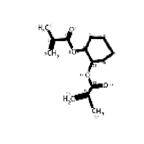 C=C(C)C(=O)OC1CCCCC1OC(=O)C(=C)C